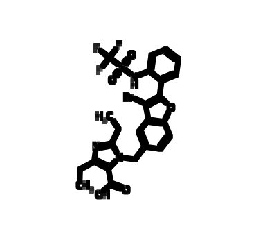 CCc1nc(CC)n(Cc2ccc3oc(-c4ccccc4NS(=O)(=O)C(F)(F)F)c(Br)c3c2)c1C(=O)O